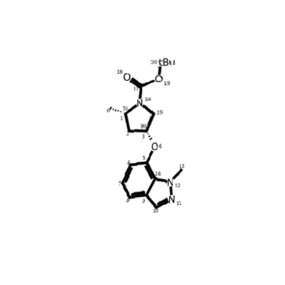 C[C@H]1C[C@@H](Oc2cccc3cnn(C)c23)CN1C(=O)OC(C)(C)C